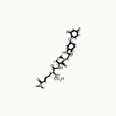 CN(C)C(=O)/C=C/CC[C@H](NC(=O)O)C(=O)Nc1cccn(Cc2nc3ccc(Oc4ccc(F)cc4F)cc3[nH]2)c1=O